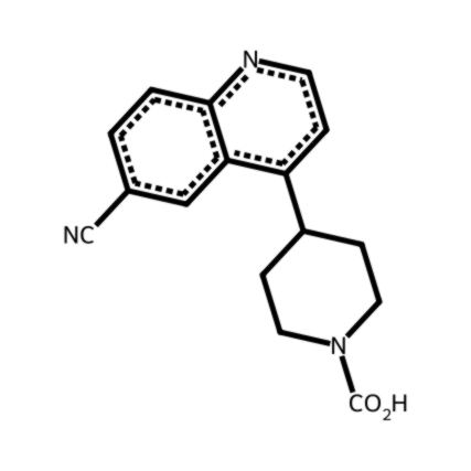 N#Cc1ccc2nccc(C3CCN(C(=O)O)CC3)c2c1